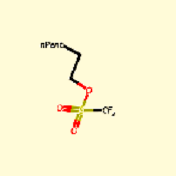 CCCCCCCOS(=O)(=O)C(F)(F)F